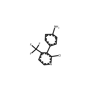 Nc1ccc(-c2c(C(F)(F)F)ccnc2Cl)cc1